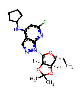 CC[C@H]1O[C@@H](n2ncc3c(NC4CCCC4)cc(Cl)nc32)[C@@H]2OC(C)(C)O[C@@H]21